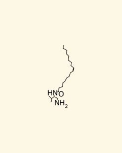 CCCCCCCC/C=C\CCCCCCCC(=O)N[C@@H](CN)C(C)C